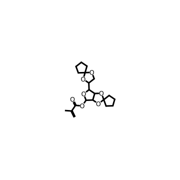 C=C(C)C(=O)OC1OC(C2COC3(CCCC3)O2)C2OC3(CCCC3)OC12